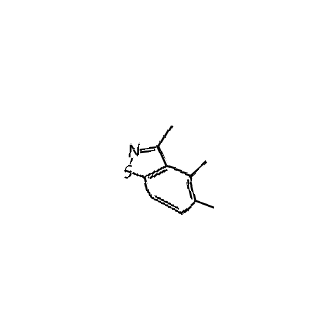 Cc1ccc2snc(C)c2c1C